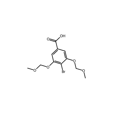 COCOc1cc(C(=O)O)cc(OCOC)c1Br